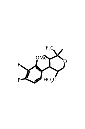 COc1c(C2C(C(=O)O)COC(C)(C(F)(F)F)C2C)ccc(F)c1F